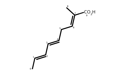 CC=CC=CCC=C(C)C(=O)O